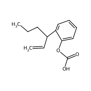 C=CC(CCC)c1ccccc1OC(=O)O